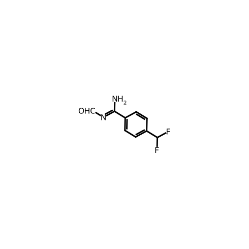 NC(=NC=O)c1ccc(C(F)F)cc1